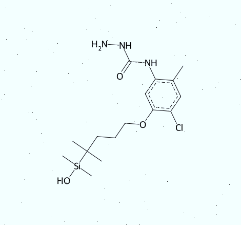 Cc1cc(Cl)c(OCCCC(C)(C)[Si](C)(C)O)cc1NC(=O)NN